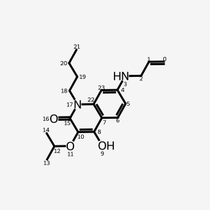 C=CCNc1ccc2c(O)c(OC(C)C)c(=O)n(CCCC)c2c1